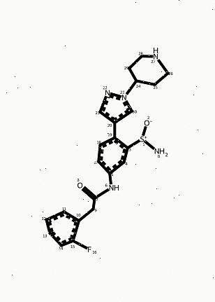 N[S+]([O-])c1cc(NC(=O)Cc2ccccc2F)ccc1-c1cnn(C2CCNCC2)c1